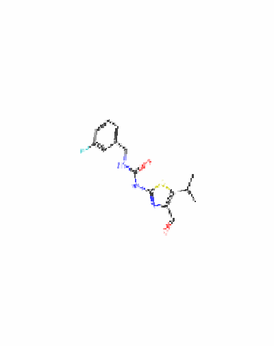 CC(C)c1sc(NC(=O)NCc2cccc(F)c2)nc1C=O